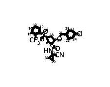 N#CC1(NC(=O)[C@@H]2CC(S(=O)(=O)c3ccccc3C(F)(F)F)C[C@H]2OCc2ccc(Cl)cc2)CC1